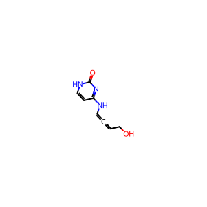 O=c1nc(NC=C=CCO)cc[nH]1